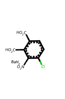 O=C(O)c1ccc(Cl)c([N+](=O)[O-])c1C(=O)O.[BaH2]